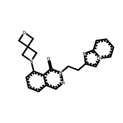 O=c1c2c(N3CC4(COC4)C3)cccc2cnn1CCc1cn2ccccc2n1